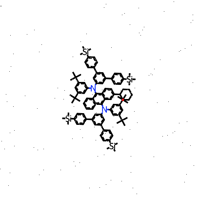 CC(C)(C)c1cc(N(c2cc(-c3ccc([Si](C)(C)C)cc3)cc(-c3ccc([Si](C)(C)C)cc3)c2)c2c3ccccc3c(N(c3cc(-c4ccc([Si](C)(C)C)cc4)cc(-c4ccc([Si](C)(C)C)cc4)c3)c3cc(C(C)(C)C)cc(C(C)(C)C)c3)c3cc(C4CCCCC4)ccc23)cc(C(C)(C)C)c1